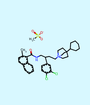 CS(=O)(=O)[O-].Cc1ccc2ccccc2c1C(=O)NCC(CC[N+]12CCC(C3CCCCC3)(CC1)CC2)c1ccc(Cl)c(Cl)c1